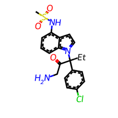 CCC(C(=O)CN)(c1ccc(Cl)cc1)n1ccc2c(NS(C)(=O)=O)cccc21